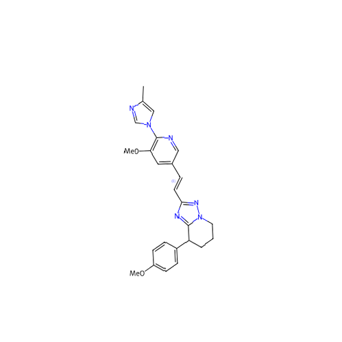 COc1ccc(C2CCCn3nc(/C=C/c4cnc(-n5cnc(C)c5)c(OC)c4)nc32)cc1